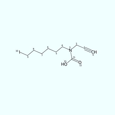 C#CCN(CCCCCCI)C(=O)O